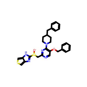 [O-][S+](Cc1ncc(OCc2ccccc2)c(N2CCC(Cc3ccccc3)CC2)n1)c1nc2cscc2[nH]1